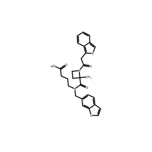 CC1(C(=O)N(CCCC(=O)O)Cc2ccc3ccoc3c2)CCN1C(=O)Cc1occ2ccccc12